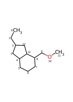 CCC1CC2CCCC(COC)C2C1